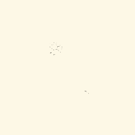 Cc1nc2nc(Cl)nc(S(=O)(=O)C(C)C)c2n1CCCCCCCCCCCCCCCC#N